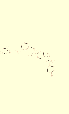 O=C(Nc1cccc(OCCn2cncn2)c1)c1ccc(NS(=O)(=O)c2ccc(F)cc2)cc1